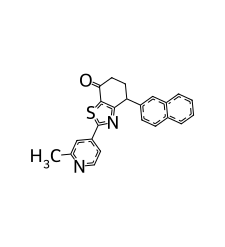 Cc1cc(-c2nc3c(s2)C(=O)CCC3c2ccc3ccccc3c2)ccn1